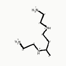 CC(CCNCCN)NCCN